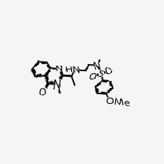 COc1ccc(S(=O)(=O)N(C)CCNC(C)c2nc3ccccc3c(=O)n2C)cc1